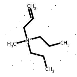 C=CC[N+](C)(CCC)CCC